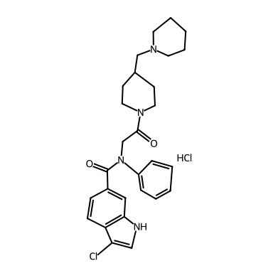 Cl.O=C(CN(C(=O)c1ccc2c(Cl)c[nH]c2c1)c1ccccc1)N1CCC(CN2CCCCC2)CC1